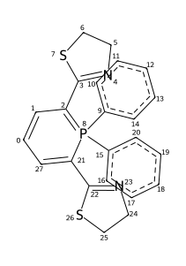 C1=CC(C2=NCCS2)=P(c2ccccc2)(c2ccccc2)C(C2=NCCS2)=C1